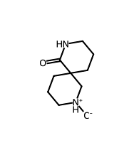 [CH2-][NH+]1CCCC2(CCCNC2=O)C1